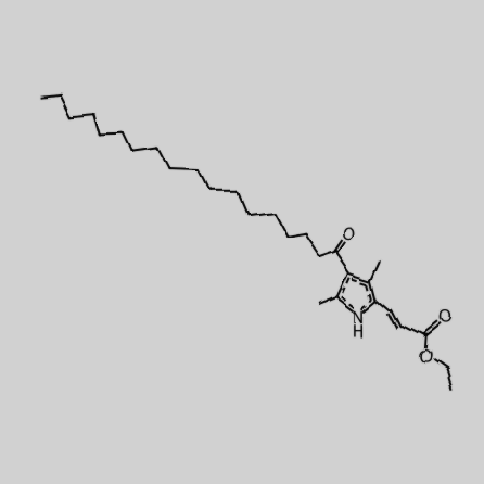 CCCCCCCCCCCCCCCCCC(=O)c1c(C)[nH]c(C=CC(=O)OCC)c1C